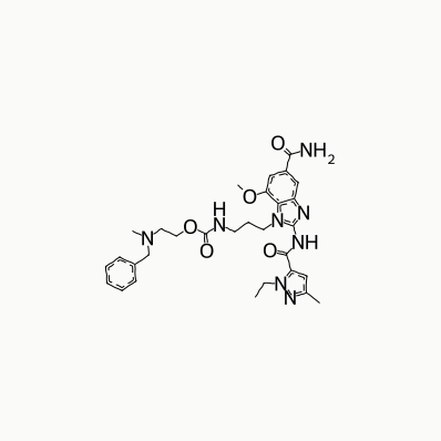 CCn1nc(C)cc1C(=O)Nc1nc2cc(C(N)=O)cc(OC)c2n1CCCNC(=O)OCCN(C)Cc1ccccc1